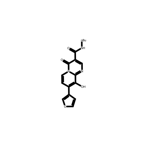 CCCCNC(=O)c1cnc2c(O)c(-c3ccoc3)ccn2c1=O